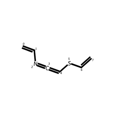 C=CN=C=CSC=C